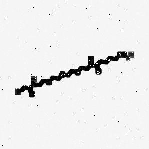 O=C(O)CCCCC(=O)NCCOCCOCCOCCNC(=O)CBr